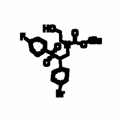 CC(C)(C)OC(=O)N(CCO)CC(c1ccc(Br)cc1)S(=O)(=O)c1ccc(F)cc1